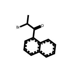 CC(Br)C(=O)c1cccc2ccccc12